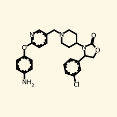 Nc1ccc(Oc2ccc(CN3CCC(N4C(=O)OCC4c4cccc(Cl)c4)CC3)cn2)cc1